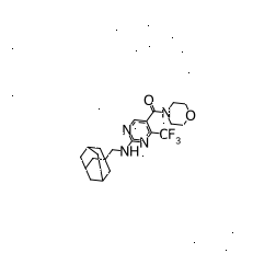 O=C(c1cnc(NCC23CC4CC(CC(C4)C2)C3)nc1C(F)(F)F)N1CCOCC1